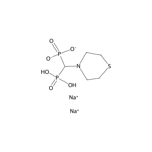 O=P([O-])([O-])C(N1CCSCC1)P(=O)(O)O.[Na+].[Na+]